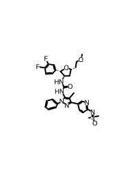 COCC[C@@H]1C[C@@H](NC(=O)Nc2c(C)c(-c3ccc(N=S(C)(C)=O)nc3)nn2-c2ccccc2)[C@H](c2ccc(F)c(F)c2)O1